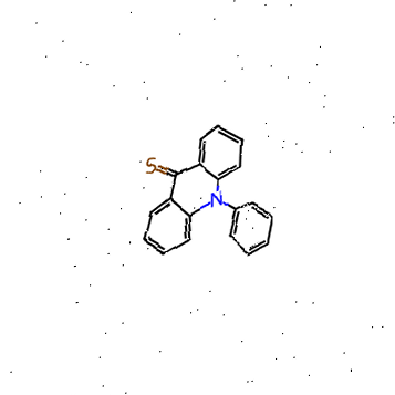 S=c1c2ccccc2n(-c2ccccc2)c2ccccc12